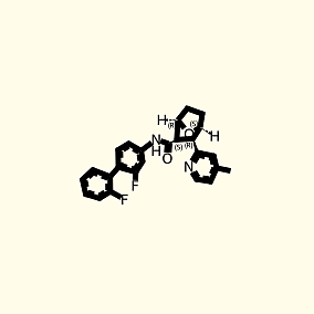 Cc1ccnc([C@H]2[C@H](C(=O)Nc3ccc(-c4ccccc4F)c(F)c3)[C@H]3CC[C@@H]2O3)c1